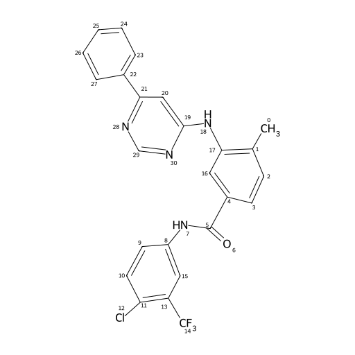 Cc1ccc(C(=O)Nc2ccc(Cl)c(C(F)(F)F)c2)cc1Nc1cc(-c2ccccc2)ncn1